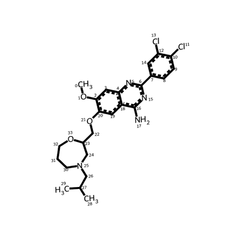 COc1cc2nc(-c3ccc(Cl)c(Cl)c3)nc(N)c2cc1OCC1CN(CC(C)C)CCCO1